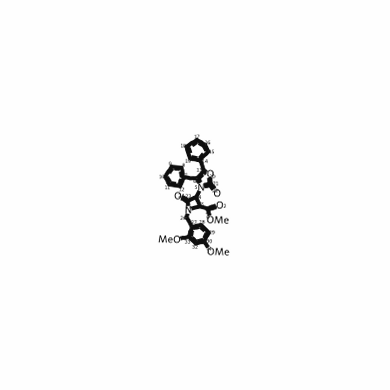 COC(=O)C1C(n2c(-c3ccccc3)c(-c3ccccc3)oc2=O)C(=O)N1Cc1ccc(OC)cc1OC